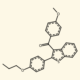 CCCOc1ccc(-c2sc3ccccc3c2C(=O)c2ccc(OC)cc2)cc1